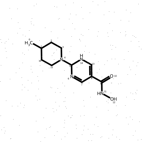 CC1CCN(C2N=CC(C(=O)NO)=CN2)CC1